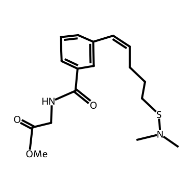 COC(=O)CNC(=O)c1cccc(/C=C\CCCSN(C)C)c1